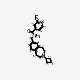 O=C(NCc1ccc2c(c1)CCN(C1CCC1)CC2)c1ccnc(F)c1